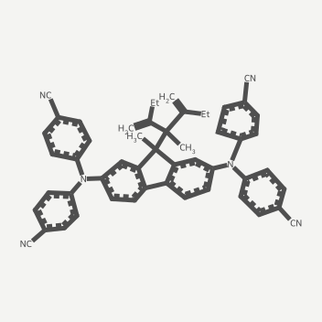 C=C(CC)C(C)(C(=C)CC)C1(C)c2cc(N(c3ccc(C#N)cc3)c3ccc(C#N)cc3)ccc2-c2ccc(N(c3ccc(C#N)cc3)c3ccc(C#N)cc3)cc21